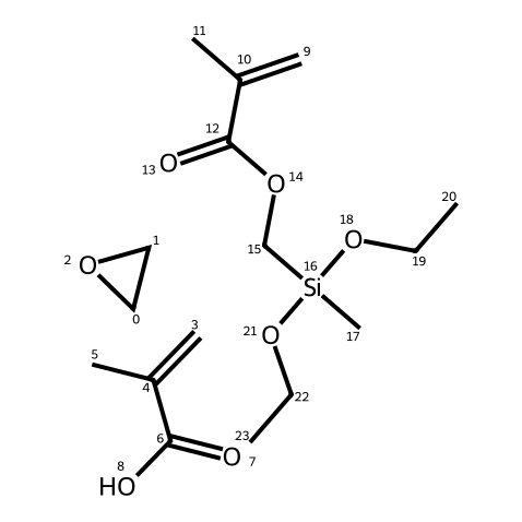 C1CO1.C=C(C)C(=O)O.C=C(C)C(=O)OC[Si](C)(OCC)OCC